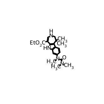 CCOC(=O)C1=CNCC(C)(C)c2c1[nH]c1cc(N(C)C(=O)N(C)C)ccc21